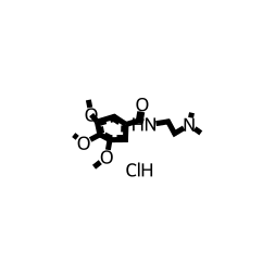 COc1cc(C(=O)NCCN(C)C)cc(OC)c1OC.Cl